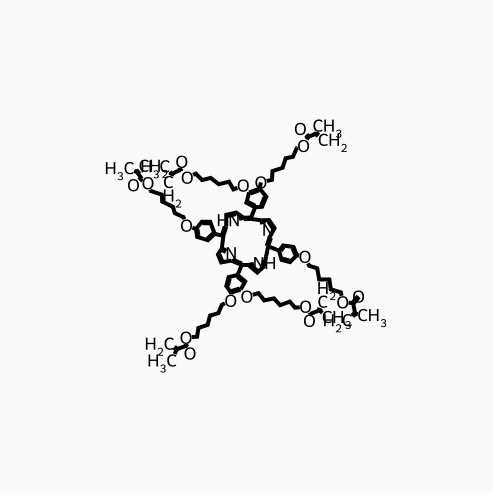 C=C(C)C(=O)OCCCCCCOc1ccc(-c2c3nc(c(-c4ccc(OCCCCCCOC(=O)C(=C)C)c(OCCCCCCOC(=O)C(=C)C)c4)c4ccc([nH]4)c(-c4ccc(OCCCCCCOC(=O)C(=C)C)cc4)c4nc(c(-c5ccc(OCCCCCCOC(=O)C(=C)C)c(OCCCCCCOC(=O)C(=C)C)c5)c5ccc2[nH]5)C=C4)C=C3)cc1